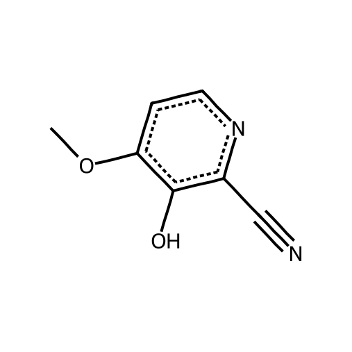 COc1ccnc(C#N)c1O